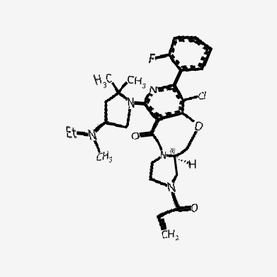 C=CC(=O)N1CCN2C(=O)c3c(N4CC(N(C)CC)CC4(C)C)nc(-c4ccccc4F)c(Cl)c3OC[C@H]2C1